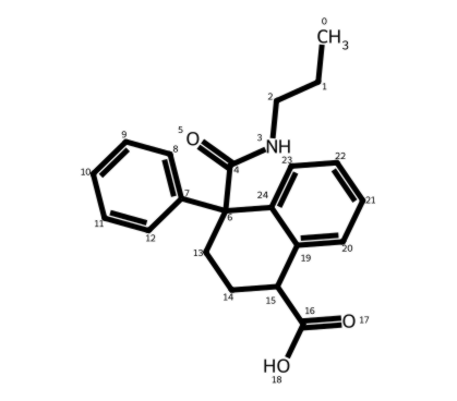 CCCNC(=O)C1(c2ccccc2)CCC(C(=O)O)c2ccccc21